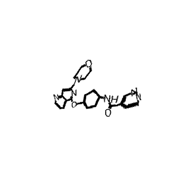 O=C(NC1CCC(Oc2nc(N3CCOCC3)cc3ncccc23)CC1)c1ccnnc1